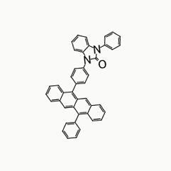 O=c1n(-c2ccccc2)c2ccccc2n1-c1ccc(-c2c3ccccc3cc3c(-c4ccccc4)c4ccccc4cc23)cc1